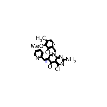 COc1c(C)cnc(CN2C/C(=C\c3ccccn3)C(=O)c3c(Cl)nc(N)nc32)c1C